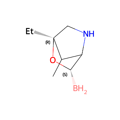 B[C@@H]1O[C@@]2(CC)CNC1C2C